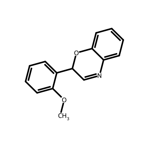 COc1ccccc1C1C=Nc2ccccc2O1